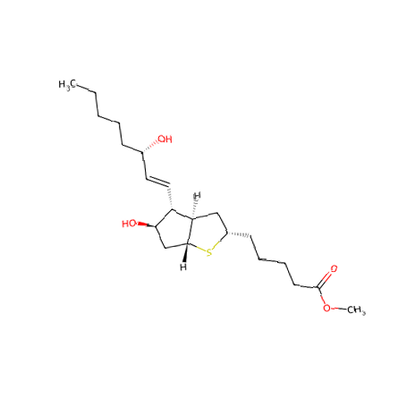 CCCCC[C@H](O)/C=C/[C@@H]1[C@H]2C[C@H](CCCCC(=O)OC)S[C@@H]2C[C@H]1O